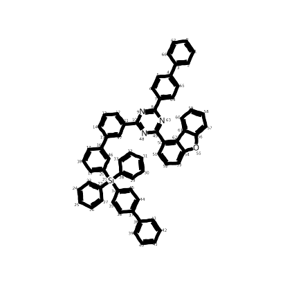 c1ccc(-c2ccc(-c3nc(-c4cccc(-c5cccc([Si](c6ccccc6)(c6ccccc6)c6ccc(-c7ccccc7)cc6)c5)c4)nc(-c4cccc5oc6ccccc6c45)n3)cc2)cc1